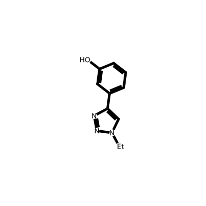 CCn1cc(-c2cccc(O)c2)nn1